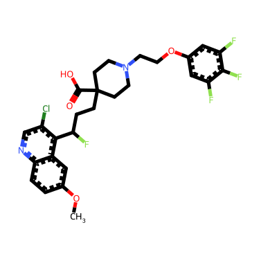 COc1ccc2ncc(Cl)c(C(F)CCC3(C(=O)O)CCN(CCOc4cc(F)c(F)c(F)c4)CC3)c2c1